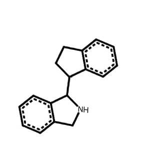 c1ccc2c(c1)CC[C]2C1NCc2ccccc21